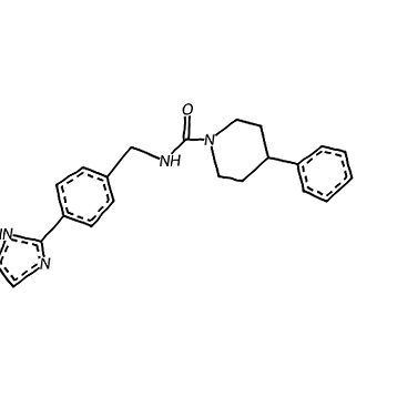 O=C(NCc1ccc(-c2ncc[nH]2)cc1)N1CCC(c2ccccc2)CC1